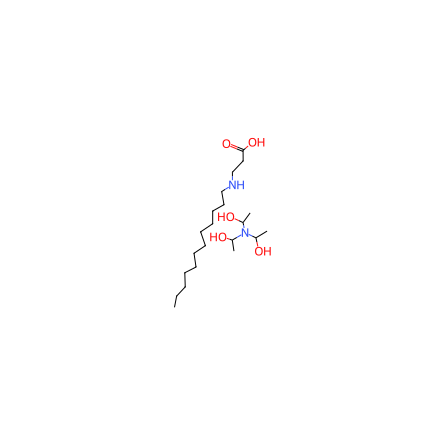 CC(O)N(C(C)O)C(C)O.CCCCCCCCCCCCNCCC(=O)O